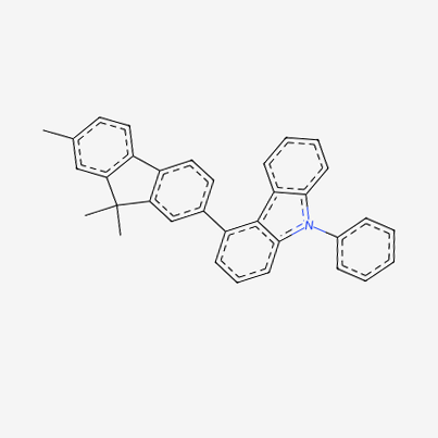 Cc1ccc2c(c1)C(C)(C)c1cc(-c3cccc4c3c3ccccc3n4-c3ccccc3)ccc1-2